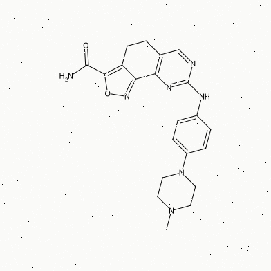 CN1CCN(c2ccc(Nc3ncc4c(n3)-c3noc(C(N)=O)c3CC4)cc2)CC1